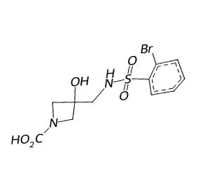 O=C(O)N1CC(O)(CNS(=O)(=O)c2ccccc2Br)C1